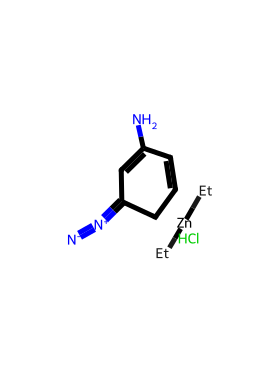 C[CH2][Zn][CH2]C.Cl.[N-]=[N+]=C1C=C(N)C=CC1